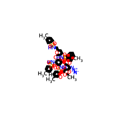 CC(=O)OCC1O[C@H](O[C@@H]2C(O)C(O[C@H]3OC(CNS(=O)(=O)c4ccc(C)cc4)CCC3NS(=O)(=O)c3ccc(C)cc3)[C@@H](NS(=O)(=O)c3ccc(C)cc3)C(O)[C@H]2NS(=O)(=O)c2ccc(C)cc2)C(OCc2ccccc2)[C@@H](N=[N+]=[N-])[C@@H]1OC(C)=O